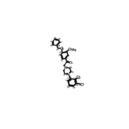 COc1cc(C(=O)CN2CCN(c3cccc(Cl)c3Cl)CC2)ccc1OCc1ccccc1